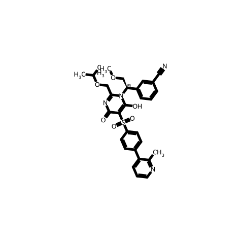 COC[C@@H](c1cccc(C#N)c1)n1c(COC(C)C)nc(=O)c(S(=O)(=O)c2ccc(-c3cccnc3C)cc2)c1O